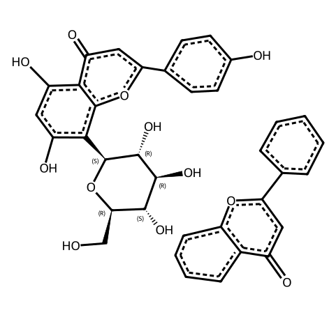 O=c1cc(-c2ccc(O)cc2)oc2c([C@@H]3O[C@H](CO)[C@@H](O)[C@H](O)[C@H]3O)c(O)cc(O)c12.O=c1cc(-c2ccccc2)oc2ccccc12